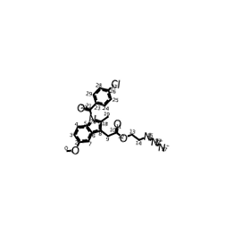 COc1ccc2c(c1)c(CC(=O)OCCN=[N+]=[N-])c(C)n2C(=O)c1ccc(Cl)cc1